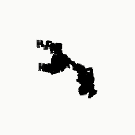 CCOC(=O)NCCCN(CCCSc1ccc(Cl)c(COC2(c3cnccc3-c3ccccc3OC3CC3)CC2)c1)C(=O)C(O)C(O)C(O)C(O)CO